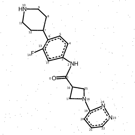 O=C(Nc1ccc(C2CCNCC2)c(F)c1)C1CN(c2cccnn2)C1